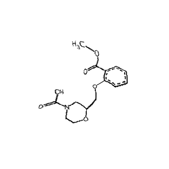 COC(=O)c1ccccc1OCC1CN(C(=O)O)CCO1